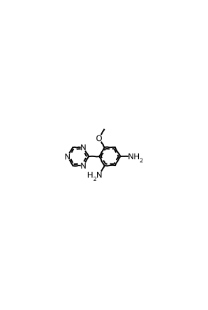 COc1cc(N)cc(N)c1-c1ncncn1